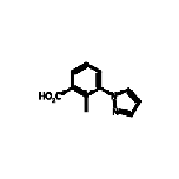 Cc1c(C(=O)O)cccc1-n1cccn1